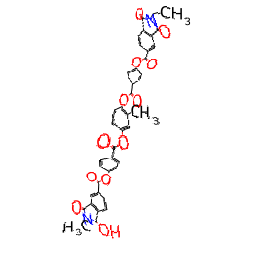 CCN1C(=O)c2ccc(C(=O)OC3=CCC(C(=O)Oc4ccc(OC(=O)c5ccc(OC(=O)c6ccc7c(c6)C(=O)N(C)C7O)cc5)cc4C)C=C3)cc2C1=O